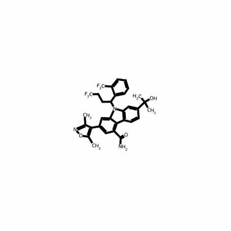 Cc1noc(C)c1-c1cc(C(N)=O)c2c3ccc(C(C)(C)O)cc3n(C(CCC(F)(F)F)c3ccccc3C(F)(F)F)c2c1